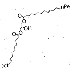 CCCCCC=CCC=CCCCCCCCC(=O)OCC(O)COC(=O)CCCCCCCC=CCCCCCCCC